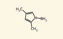 Bn1cc(C)cc1C